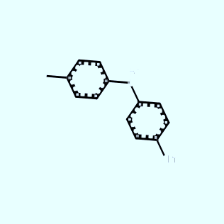 Cc1ccc([I+]c2ccc(C(C)C)cc2)cc1.[Br-]